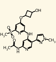 CC(=O)Nc1cc(Nc2cc(OC3CC(O)C3)cc(S(C)(=O)=O)n2)c(-c2ccn(C)n2)cn1